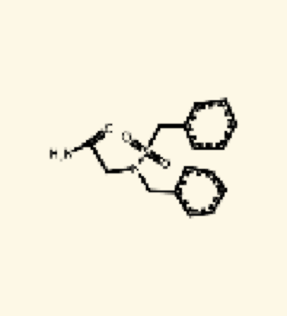 NC(=O)CN(Cc1ccccc1)S(=O)(=O)Cc1ccccc1